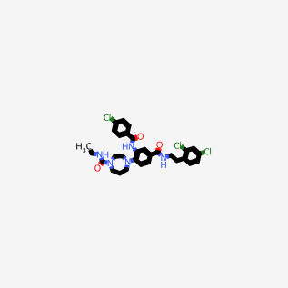 CCNC(=O)N1CCCN(c2ccc(C(=O)NCCc3ccc(Cl)cc3Cl)cc2NC(=O)c2ccc(Cl)cc2)CC1